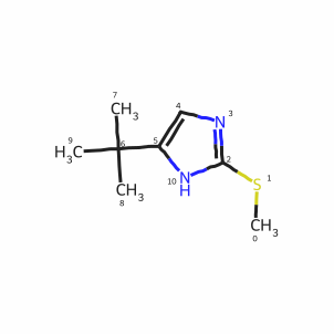 CSc1ncc(C(C)(C)C)[nH]1